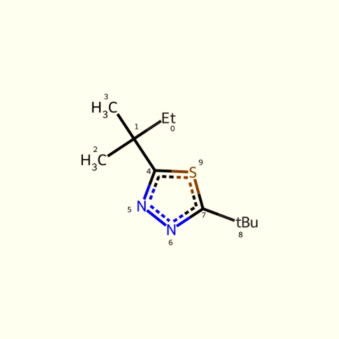 CCC(C)(C)c1nnc(C(C)(C)C)s1